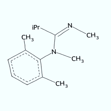 C/N=C(/C(C)C)N(C)c1c(C)cccc1C